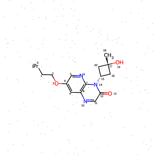 CC(C)CCOc1cnc2c(c1)ncc(=O)n2[C@H]1C[C@@](C)(O)C1